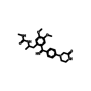 CNC(=O)NC(C)Cc1cc(OC)c(OC)cc1C(=N)c1ccc(N2CCNC(=O)C2)cc1